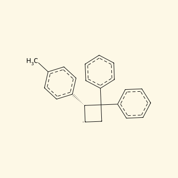 Cc1ccc([C@H]2[CH]CC2(c2ccccc2)c2ccccc2)cc1